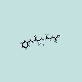 N[C@@H](COC(=O)CCC(=O)O)C(=O)OCc1ccccc1